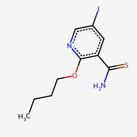 CCCCOc1ncc(I)cc1C(N)=S